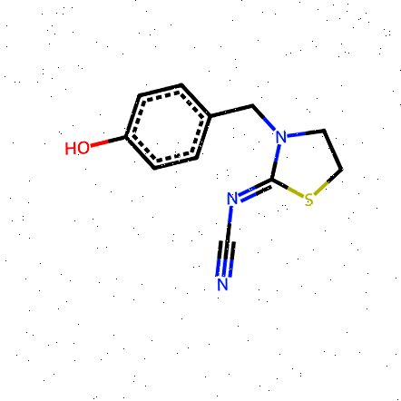 N#CN=C1SCCN1Cc1ccc(O)cc1